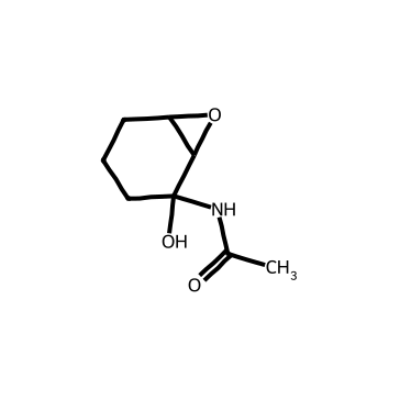 CC(=O)NC1(O)CCCC2OC21